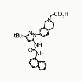 CC(C)(C)c1cc(NC(=O)Nc2cccc3ccccc23)n(-c2ccc3c(c2)CN(CC(=O)O)CC3)n1